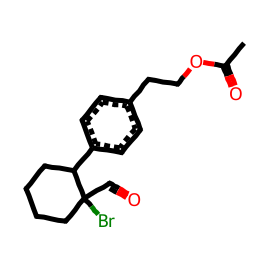 CC(=O)OCCc1ccc(C2CCCCC2(Br)C=O)cc1